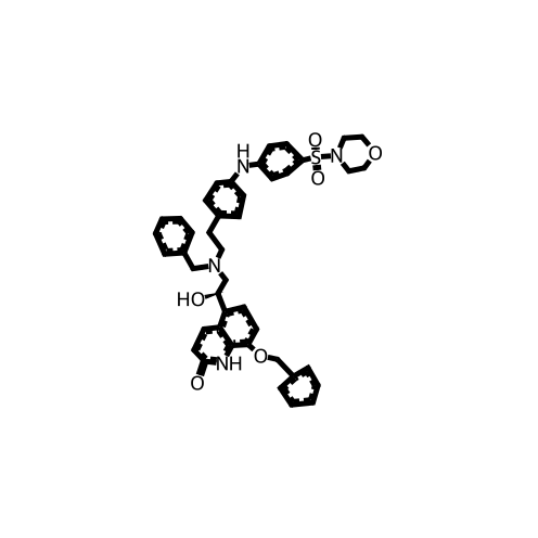 O=c1ccc2c([C@@H](O)CN(CCc3ccc(Nc4ccc(S(=O)(=O)N5CCOCC5)cc4)cc3)Cc3ccccc3)ccc(OCc3ccccc3)c2[nH]1